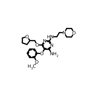 COc1ccccc1Oc1c(N)nc(NCCN2CCOCC2)nc1OCC1CCCO1